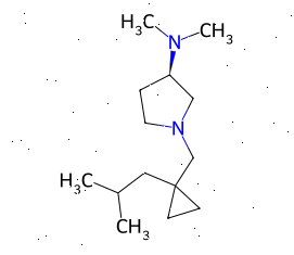 CC(C)CC1(CN2CC[C@@H](N(C)C)C2)CC1